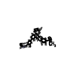 CC(=O)c1ccc(CN(C(=O)N2CCOCC2)c2cccc(-c3ccc(/C=C\I)c(I)c3)c2)cc1